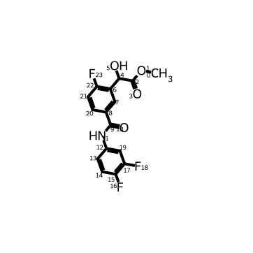 COC(=O)C(O)c1cc(C(=O)Nc2ccc(F)c(F)c2)ccc1F